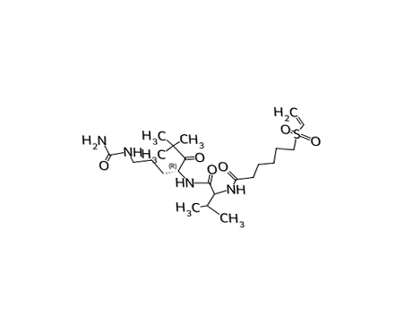 C=CS(=O)(=O)CCCCCC(=O)NC(C(=O)N[C@H](CCCNC(N)=O)C(=O)C(C)(C)C)C(C)C